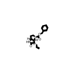 C=CC[C@@H]1C(=O)N[C@@H]2CCN(C(=O)OCc3ccccc3)[C@@H]12